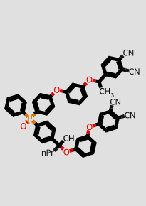 CCCC(C)(Oc1cccc(Oc2ccc(C#N)c(C#N)c2)c1)c1ccc(P(=O)(c2ccccc2)c2ccc(Oc3cccc(OC(C)c4ccc(C#N)c(C#N)c4)c3)cc2)cc1